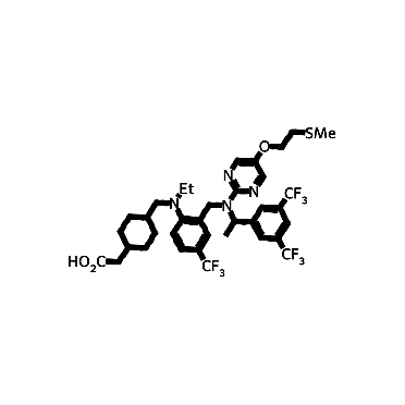 CCN(CC1CCC(CC(=O)O)CC1)c1ccc(C(F)(F)F)cc1CN(c1ncc(OCCSC)cn1)C(C)c1cc(C(F)(F)F)cc(C(F)(F)F)c1